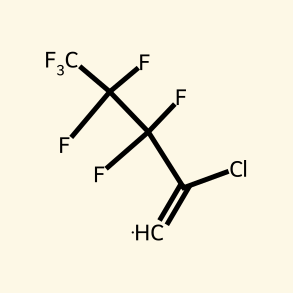 [CH]=C(Cl)C(F)(F)C(F)(F)C(F)(F)F